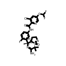 CC1(C)C(N)=N[C@](C)(c2cc(NC(=O)c3ncc(OC(F)F)cc3Cl)ccc2F)[C@@H]2CCN=[S@@]21=O